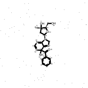 [2H][C@]1(O)C[C@H](N2CN=C3C2=NC=NC3(N)C(=O)c2ccccc2)O[C@@H]1CO